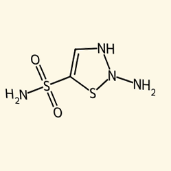 NN1NC=C(S(N)(=O)=O)S1